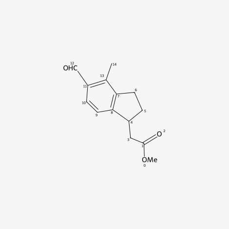 COC(=O)CC1CCc2c1ccc(C=O)c2C